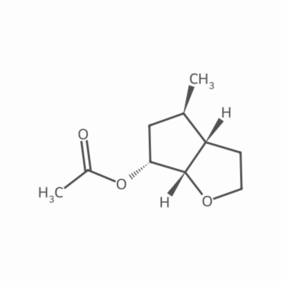 CC(=O)O[C@@H]1C[C@@H](C)[C@@H]2CCO[C@@H]21